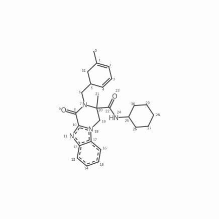 CC1=CC=CC(CN2C(=O)c3nc4ccccc4n3CC2(C)C(=O)NC2CCCCC2)C1